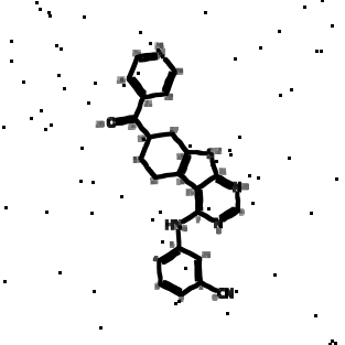 N#Cc1cccc(Nc2ncnc3sc4c(c23)CCC(C(=O)c2ccncc2)C4)c1